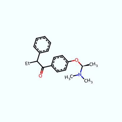 CCC(C(=O)c1ccc(O[C@@H](C)N(C)C)cc1)c1ccccc1